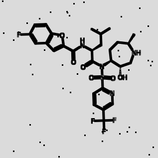 CC(C)C[C@H](NC(=O)c1cc2cc(F)ccc2o1)C(=O)N([C@H]1CC[C@@H](C)NC[C@@H]1O)S(=O)(=O)c1ccc(C(F)(F)F)cn1